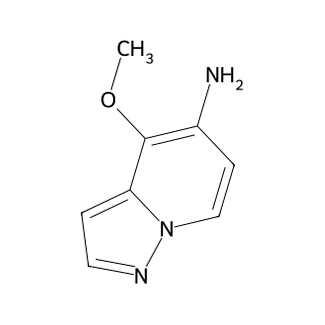 COc1c(N)ccn2nccc12